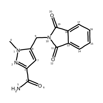 Cn1nc(C(N)=O)cc1CN1C(=O)c2ccccc2C1=O